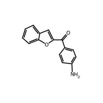 Nc1ccc(C(=O)c2cc3ccccc3o2)cc1